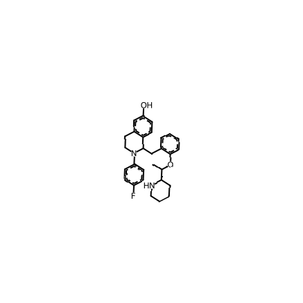 CC(Oc1ccccc1CC1c2ccc(O)cc2CCN1c1ccc(F)cc1)C1CCCCN1